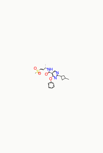 CC1CC(c2ncc(C(=O)N[C@@H](C)/C=C/S(C)(=O)=O)c(Oc3ccccc3)n2)C1